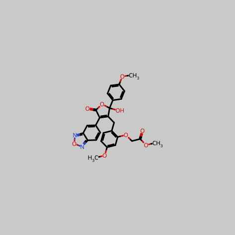 COC(=O)COc1cc(OC)ccc1CC1=C(c2ccc3nonc3c2)C(=O)OC1(O)c1ccc(OC)cc1